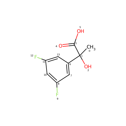 CC(O)(C(=O)O)c1cc(F)cc(F)c1